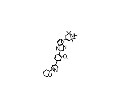 COc1cc(-c2cnn(C3CCCCO3)c2)ccc1-c1cnc2c(ccn2C2=CC(C)(C)NC(C)(C)C2)n1